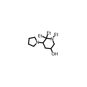 CCN1CC(O)CC(N2CCCC2)C1(CC)CC